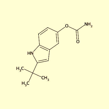 CC(C)(C)c1cc2cc(OC(N)=O)ccc2[nH]1